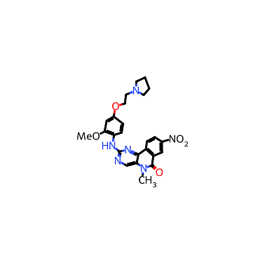 COc1cc(OCCN2CCCC2)ccc1Nc1ncc2c(n1)c1ccc([N+](=O)[O-])cc1c(=O)n2C